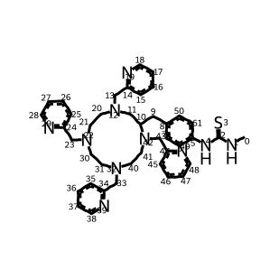 CNC(=S)Nc1ccc(CC2CN(Cc3ccccn3)CCN(Cc3ccccn3)CCN(Cc3ccccn3)CCN2Cc2ccccn2)cc1